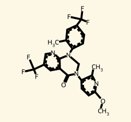 COc1ccc(N2CN(c3ccc(C(F)(F)F)cc3C)c3ncc(C(F)(F)F)cc3C2=O)c(C)n1